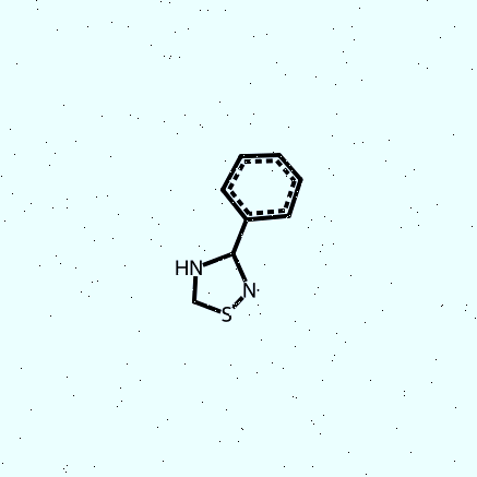 c1ccc(C2[N]SCN2)cc1